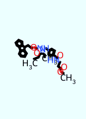 CCCCC(CC)N(Cc1ccc(C(=O)NCCC(=O)OCC)cc1)NC(=O)OCCC1c2ccccc2-c2ccccc21